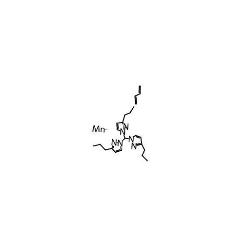 C=CC=C.CCCc1ccn(C(n2ccc(CCC)n2)n2ccc(CCC)n2)n1.[Mn]